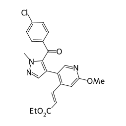 CCOC(=O)/C=C/c1cc(OC)ncc1-c1cnn(C)c1C(=O)c1ccc(Cl)cc1